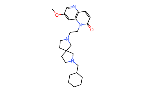 COc1cnc2ccc(=O)n(CCN3CCC4(CCN(CC5CCCCC5)C4)C3)c2c1